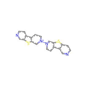 c1cc2c(cn1)sc1c[n+](-[n+]3ccc4c(c3)sc3ccncc34)ccc12